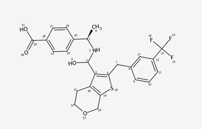 C[C@@H](NC(O)c1c(Cc2cccc(C(F)(F)F)c2)sc2c1CCOC2)c1ccc(C(=O)O)cc1